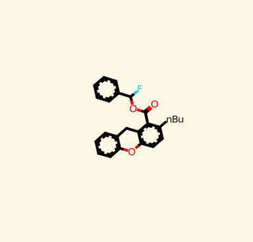 CCCCc1ccc2c(c1C(=O)OC(F)c1ccccc1)Cc1ccccc1O2